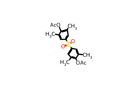 CC(=O)Oc1c(C)cc(S(=O)(=O)c2cc(C)c(OC(C)=O)c(C)c2)cc1C